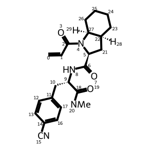 C=CC(=O)N1[C@H](C(=O)N[C@@H](Cc2ccc(C#N)cc2)C(=O)NC)C[C@@H]2CCCC[C@@H]21